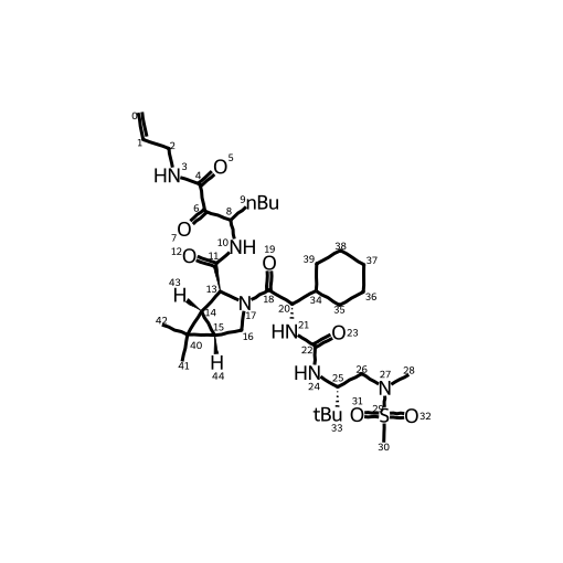 C=CCNC(=O)C(=O)C(CCCC)NC(=O)[C@@H]1[C@@H]2[C@H](CN1C(=O)[C@@H](NC(=O)N[C@H](CN(C)S(C)(=O)=O)C(C)(C)C)C1CCCCC1)C2(C)C